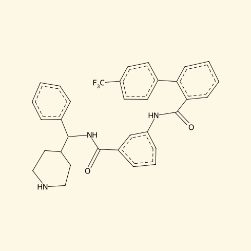 O=C(NC(c1ccccc1)C1CCNCC1)c1cccc(NC(=O)c2ccccc2-c2ccc(C(F)(F)F)cc2)c1